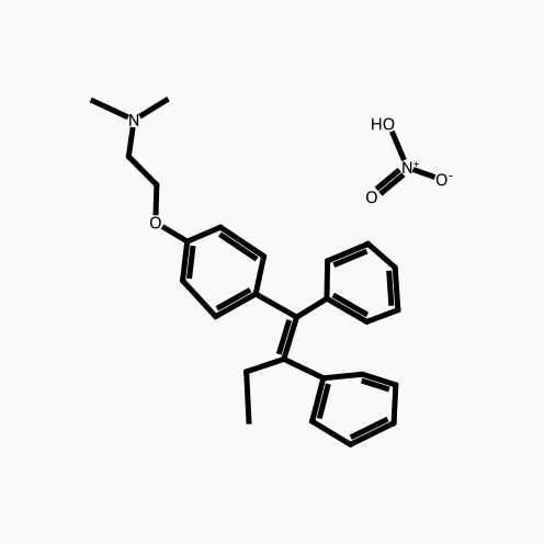 CCC(=C(c1ccccc1)c1ccc(OCCN(C)C)cc1)c1ccccc1.O=[N+]([O-])O